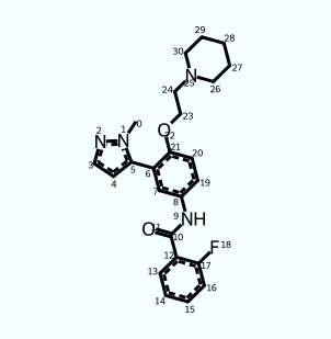 Cn1nccc1-c1cc(NC(=O)c2ccccc2F)ccc1OCCN1CCCCC1